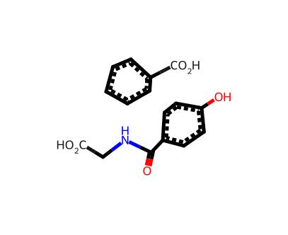 O=C(O)CNC(=O)c1ccc(O)cc1.O=C(O)c1ccccc1